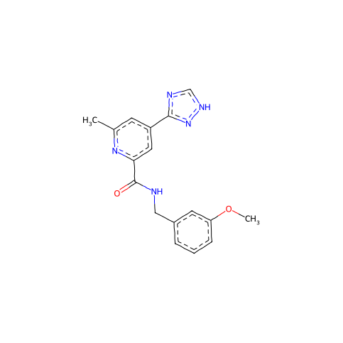 COc1cccc(CNC(=O)c2cc(-c3nc[nH]n3)cc(C)n2)c1